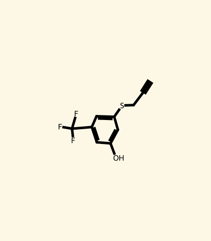 C#CCSc1cc(O)cc(C(F)(F)F)c1